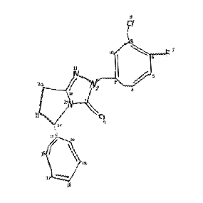 O=c1n(-c2ccc(F)c(Cl)c2)nc2n1[C@H](c1ccccc1)CC2